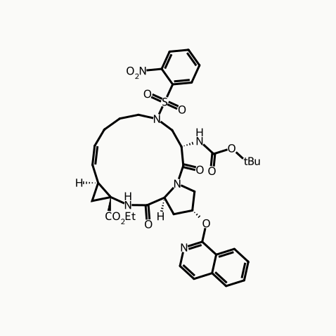 CCOC(=O)[C@@]12C[C@H]1/C=C\CCCN(S(=O)(=O)c1ccccc1[N+](=O)[O-])C[C@H](NC(=O)OC(C)(C)C)C(=O)N1C[C@H](Oc3nccc4ccccc34)C[C@H]1C(=O)N2